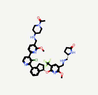 COc1nc(-c2ccnc(-c3cccc4c3CC[C@@H]4Oc3nc(OC)c(CNC[C@@H]4CCC(=O)N4)cc3C(F)(F)F)c2Cl)ccc1CNC1CCN(C(C)=O)CC1